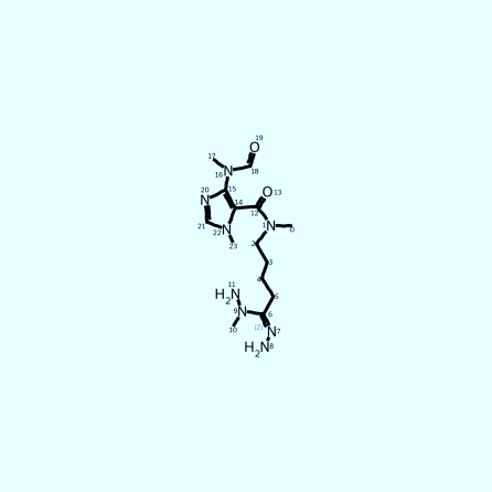 CN(CCCC/C(=N/N)N(C)N)C(=O)c1c(N(C)C=O)ncn1C